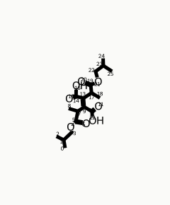 CC(C)COC(=O)C(C)/C(C(=O)O)=C(\C(=O)O)C(C)C(=O)OCC(C)C